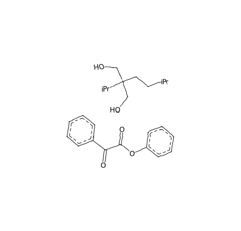 CC(C)CCC(CO)(CO)C(C)C.O=C(Oc1ccccc1)C(=O)c1ccccc1